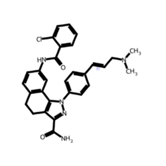 CN(C)C/C=C/c1ccc(-n2nc(C(N)=O)c3c2-c2cc(NC(=O)c4ccccc4Cl)ccc2CC3)cc1